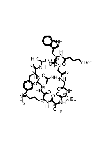 CCCCCCCCCCCCCC(=O)N[C@@H](Cc1c[nH]c2ccccc12)C(=O)NCC(=O)NCC(=O)N[C@H](C(=O)N[C@@H](C)C(=O)N[C@@H](CCCCN)C(=O)N[C@@H](CC(N)=O)C(=O)N[C@@H](Cc1ccc(O)cc1)C(=O)N[C@@H](C)C(=O)O)[C@@H](C)CC